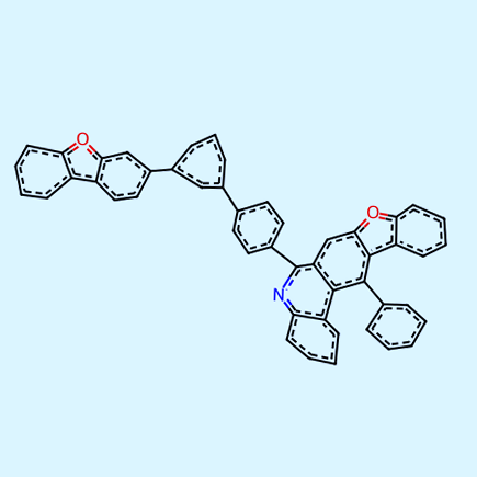 c1ccc(-c2c3c(cc4c(-c5ccc(-c6cccc(-c7ccc8c(c7)oc7ccccc78)c6)cc5)nc5ccccc5c24)oc2ccccc23)cc1